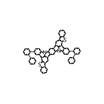 c1ccc(-c2ccccc2-c2ccc3c(c2)c2c4sc5ccccc5c4cc4c5cc6c(cc5n3c42)c2cc3c4ccccc4sc3c3c4cc(-c5ccccc5-c5ccccc5)ccc4n6c23)cc1